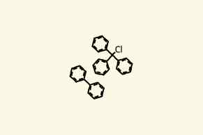 ClC(c1ccccc1)(c1ccccc1)c1ccccc1.c1ccc(-c2ccccc2)cc1